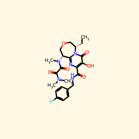 CC[C@H]1COC[C@@H](N(C)C(=O)C(=O)N(C)C)c2nc(C(=O)NCc3ccc(F)cc3)c(O)c(=O)n21